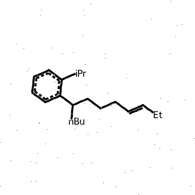 CCC=CCCCC(CCCC)c1ccccc1C(C)C